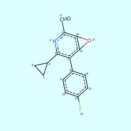 O=Cc1nc(C2CC2)c(-c2ccc(F)cc2)c2c1O2